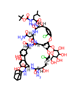 CC(C)CC(NC(=O)OC(C)(C)C)C(=O)N[C@H]1C(=O)N[C@@H](CC(N)=O)C(=O)N[C@H]2C(=O)N[C@@H](C=O)c3ccc(O)c(c3)C3=C(CC(O)C=C3O)[C@@H](C(=O)NC3C4CC5CC(C4)CC3C5)NC(=O)[C@H](N)C(O)c3ccc(c(Cl)c3)Oc3cc2cc(c3OC2OC(CO)C(O)C(O)C2O)Oc2ccc(cc2Cl)[C@@H]1O